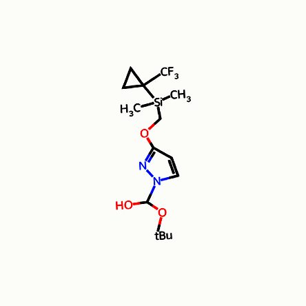 CC(C)(C)OC(O)n1ccc(OC[Si](C)(C)C2(C(F)(F)F)CC2)n1